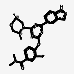 C[C@@H]1CN(c2nc(Oc3ccc(C(=O)N(C)C)cc3F)nc(-c3ccc4[nH]ncc4c3)n2)[C@@H](C)CO1